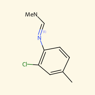 CN/C=N/c1ccc(C)cc1Cl